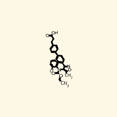 CCOC(=O)N(c1ccccc1Cl)c1c(-c2ccc(-c3ccc(CCC(=O)O)cc3)cc2)noc1C